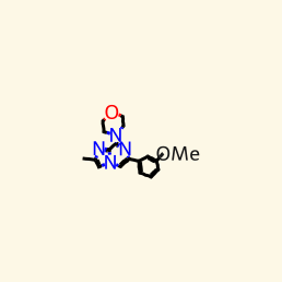 COc1cccc(-c2cn3cc(C)nc3c(N3CCOCC3)n2)c1